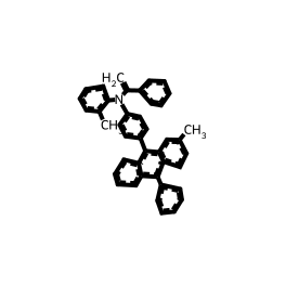 C=C(c1ccccc1)N(c1ccc(-c2c3ccccc3c(-c3ccccc3)c3ccc(C)cc23)cc1)c1ccccc1C